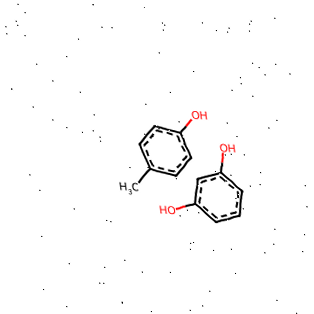 Cc1ccc(O)cc1.Oc1cccc(O)c1